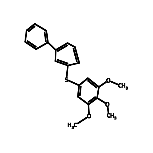 COc1cc(Sc2cccc(-c3ccccc3)c2)cc(OC)c1OC